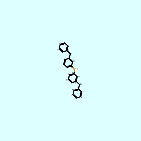 c1ccc(Cc2cccc(Pc3cccc(Cc4ccccc4)c3)c2)cc1